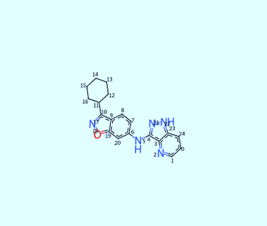 c1cnc2c(Nc3ccc4c(C5CCCCC5)noc4c3)n[nH]c2c1